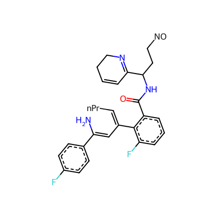 CCC/C=C(\C=C(/N)c1ccc(F)cc1)c1c(F)cccc1C(=O)NC(CCN=O)C1=NCCC=C1